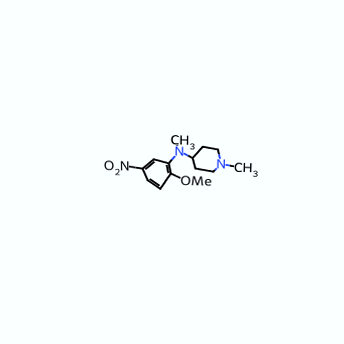 COc1ccc([N+](=O)[O-])cc1N(C)C1CCN(C)CC1